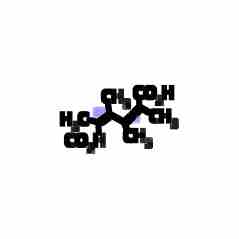 C/C(C(=O)O)=C(C)/C(C)=C(/C)C(=O)O